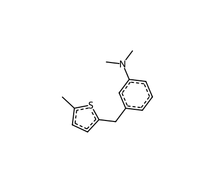 Cc1ccc(Cc2cccc(N(C)C)c2)s1